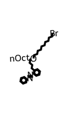 CCCCCCCCC(CCCc1ccccc1N=Nc1ccccc1)OCCCCCCCCCCBr